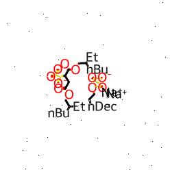 CCCCC(CC)COC(=O)CC(C(=O)OCC(CC)CCCC)S(=O)(=O)[O-].CCCCCCCCCCCCOS(=O)(=O)[O-].[Na+].[Na+]